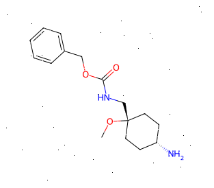 CO[C@]1(CNC(=O)OCc2ccccc2)CC[C@H](N)CC1